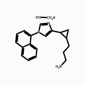 NCCCC1CC1c1cn(-c2cccc3ccccc23)cn1.O=C(O)O